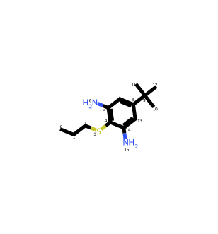 CCCSc1c(N)cc(C(C)(C)C)cc1N